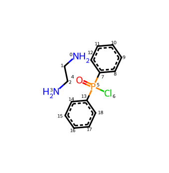 NCCN.O=P(Cl)(c1ccccc1)c1ccccc1